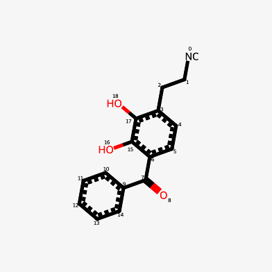 [C-]#[N+]CCc1ccc(C(=O)c2ccccc2)c(O)c1O